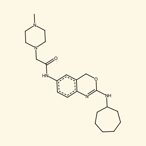 CN1CCN(CC(=O)Nc2ccc3c(c2)COC(NC2CCCCCC2)=N3)CC1